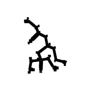 CC(C)(C)OC(=O)CN(CCBr)CP(=O)(OC(C)(C)C)OC(C)(C)C